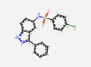 O=S(=O)(Nc1ccc2[nH]nc(-c3ccccc3)c2c1)c1ccc(Br)cc1